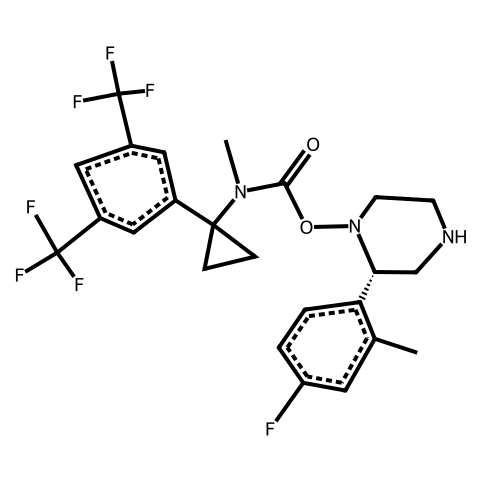 Cc1cc(F)ccc1[C@H]1CNCCN1OC(=O)N(C)C1(c2cc(C(F)(F)F)cc(C(F)(F)F)c2)CC1